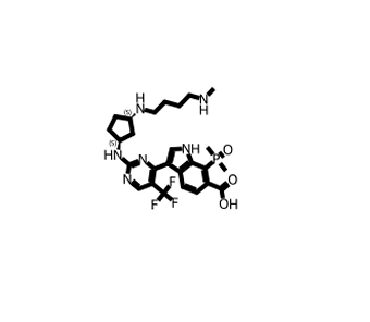 CNCCCCN[C@H]1CC[C@H](Nc2ncc(C(F)(F)F)c(-c3c[nH]c4c(P(C)(C)=O)c(C(=O)O)ccc34)n2)C1